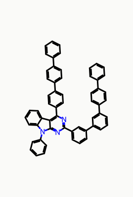 c1ccc(-c2ccc(-c3ccc(-c4nc(-c5cccc(-c6cccc(-c7ccc(-c8ccccc8)cc7)c6)c5)nc5c4c4ccccc4n5-c4ccccc4)cc3)cc2)cc1